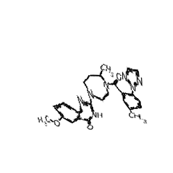 COc1ccc2nc(N3CCC(C)N(C(=O)c4cc(C)ccc4-n4nccn4)CC3)[nH]c(=O)c2c1